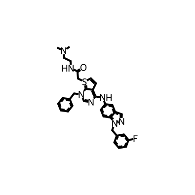 CN(C)CCNC(=O)CS1=C2C(=C(Nc3ccc4c(cnn4Cc4cccc(F)c4)c3)N=CN2Cc2ccccc2)C=C1